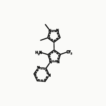 Cc1c(-c2c(C(F)(F)F)nn(-c3ncccn3)c2N)cnn1C